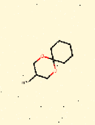 CCCC1COC2(CCCCC2)OC1